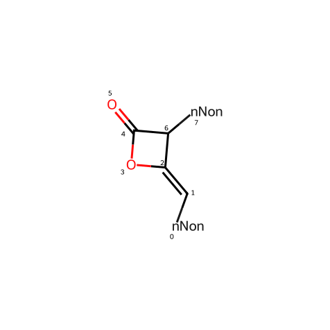 CCCCCCCCCC=C1OC(=O)C1CCCCCCCCC